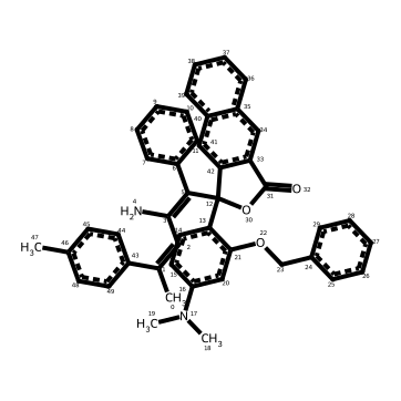 CC(=CC(N)=C(c1ccccc1)C1(c2ccc(N(C)C)cc2OCc2ccccc2)OC(=O)c2cc3ccccc3cc21)c1ccc(C)cc1